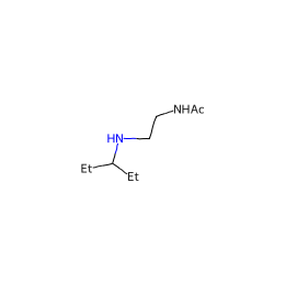 CCC(CC)NCCNC(C)=O